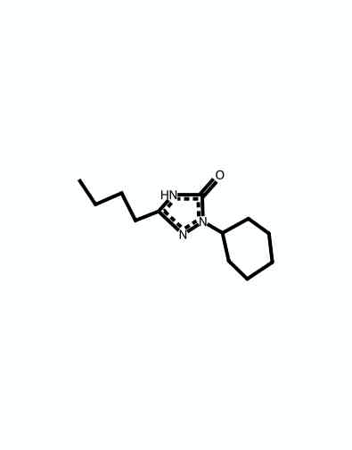 CCCCc1nn(C2CCCCC2)c(=O)[nH]1